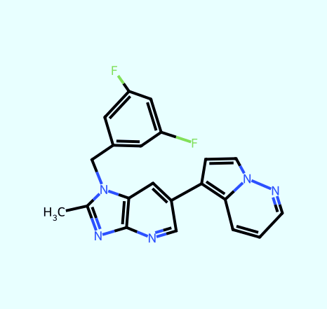 Cc1nc2ncc(-c3ccn4ncccc34)cc2n1Cc1cc(F)cc(F)c1